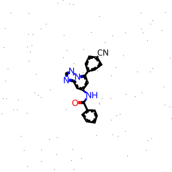 N#Cc1ccc(-c2cc(NC(=O)c3ccccc3)cc3ncnn23)cc1